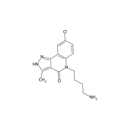 Cc1[nH]nc2c1c(=O)n(CCCCN)c1ccc(Cl)cc21